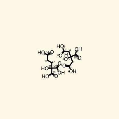 O=C(O)CC(O)(CC(=O)O)C(=O)O.O=C(O)CCC(O)(C(=O)O)C(=O)O